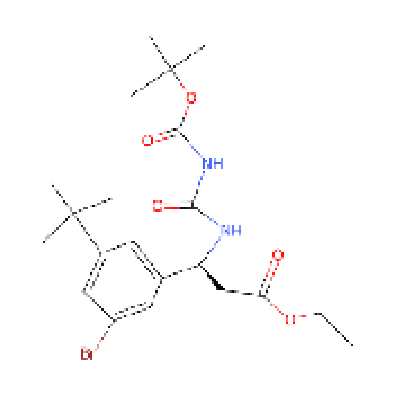 CCOC(=O)C[C@H](NC(=O)NC(=O)OC(C)(C)C)c1cc(Br)cc(C(C)(C)C)c1